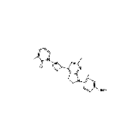 COc1ccc(N2CCc3c(-n4ccc(-n5cccc(C)c5=O)n4)cc(C)nc32)c(C)c1